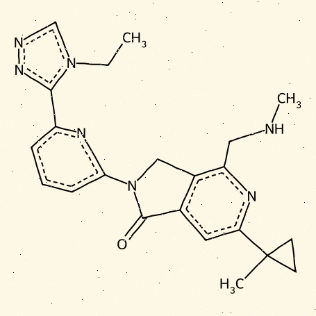 CCn1cnnc1-c1cccc(N2Cc3c(cc(C4(C)CC4)nc3CNC)C2=O)n1